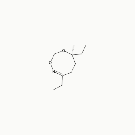 CC/C1=N/OCO[C@@](C)(CC)CC1